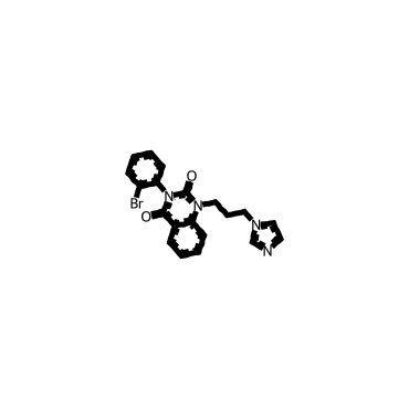 O=c1c2ccccc2n(CCCn2ccnc2)c(=O)n1-c1ccccc1Br